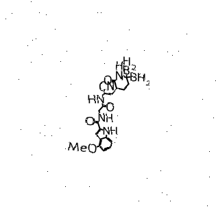 BC1(B)CC[C@@H](C[C@@H](C#N)NC(=O)CNC(=O)c2cc3c(OC)cccc3[nH]2)C(=O)N1